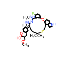 CN/C1=N\C(=N)C(C)(c2cccc(CC(COC)C(=O)O)c2)CCCC(C)(C)CSCCc2c(c(F)cc3[nH]ccc23)Oc2ccc(F)c1c2